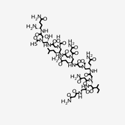 CCC(C)C(=O)[C@@H](CN(CC(=O)N[C@@H](CCC(N)=O)CN(C=O)CC(=O)N[C@@H](CCC(N)=O)CN(CC(=O)N[C@@H](CCC(C)C)CN(CC(=O)N[C@@H](CO)CN(CC(=O)N[C@H](CN)CCC(N)=O)C(=O)S)C(=O)O)C(=O)CC(N)=O)C(=O)CC(N)=O)NC(=O)CNC(=O)CC(N)=O